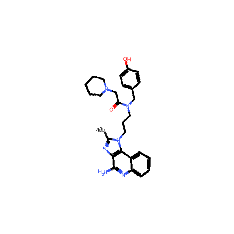 CCCCc1nc2c(N)nc3ccccc3c2n1CCCN(Cc1ccc(O)cc1)C(=O)CN1CCCCC1